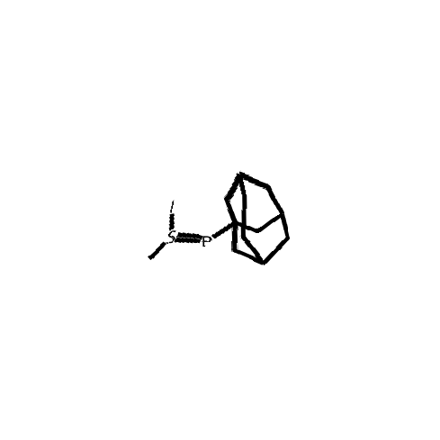 C/S(I)=P/C12CC3CC(CC(C3)C1)C2